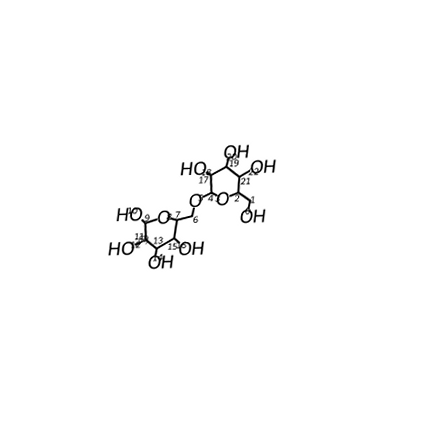 OCC1OC(OCC2OC(O)[C@H](O)C(O)C2O)C(O)C(O)C1O